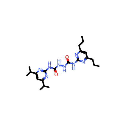 CCCc1cc(CCC)nc(NC(=O)NNC(=O)Nc2nc(C(C)C)cc(C(C)C)n2)n1